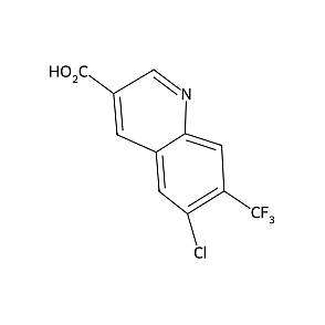 O=C(O)c1cnc2cc(C(F)(F)F)c(Cl)cc2c1